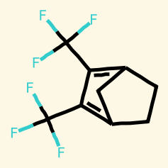 FC(F)(F)C1=C2CCC(=C1C(F)(F)F)C2